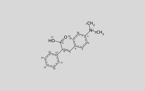 CN(C)c1ccc(C=C(C(=O)O)c2ccccc2)cc1